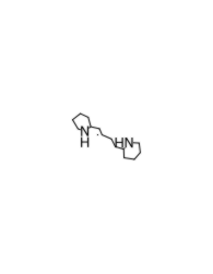 [CH](CCC1CCCCN1)CC1CCCCN1